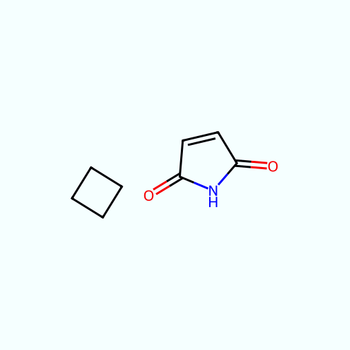 C1CCC1.O=C1C=CC(=O)N1